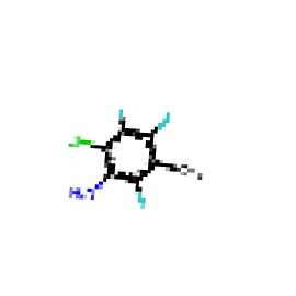 Cc1c(F)c(N)c(Cl)c(F)c1F